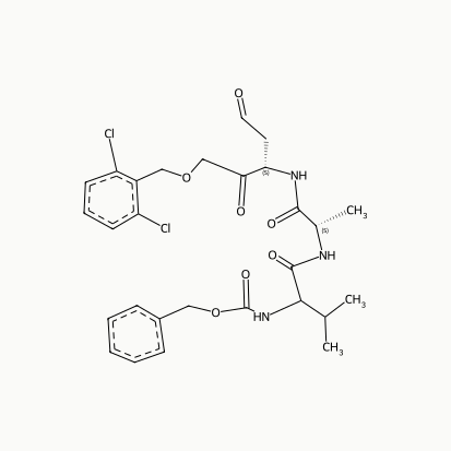 CC(C)C(NC(=O)OCc1ccccc1)C(=O)N[C@@H](C)C(=O)N[C@@H](CC=O)C(=O)COCc1c(Cl)cccc1Cl